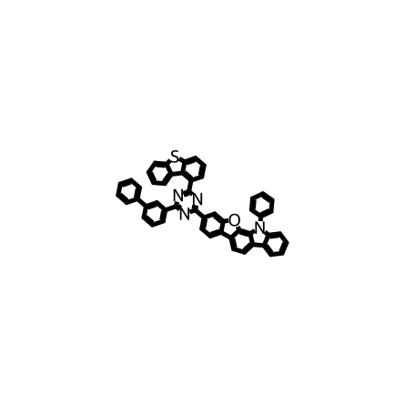 c1ccc(-c2cccc(-c3nc(-c4ccc5c(c4)oc4c5ccc5c6ccccc6n(-c6ccccc6)c54)nc(-c4cccc5sc6ccccc6c45)n3)c2)cc1